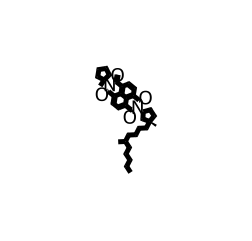 CCCCCC(C)CCCC[C@@]1(C)CCC(N2C(=O)c3ccc4c5c(ccc(c35)C2=O)C(=O)N(C2(C)CCCC2)C4=O)C1